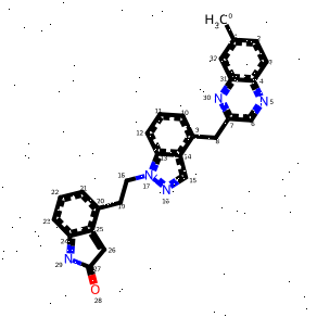 Cc1ccc2ncc(Cc3cccc4c3cnn4CCc3cccc4c3=CC(=O)N=4)nc2c1